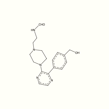 O=CNCCN1CCN(c2nccnc2-c2ccc(CO)cc2)CC1